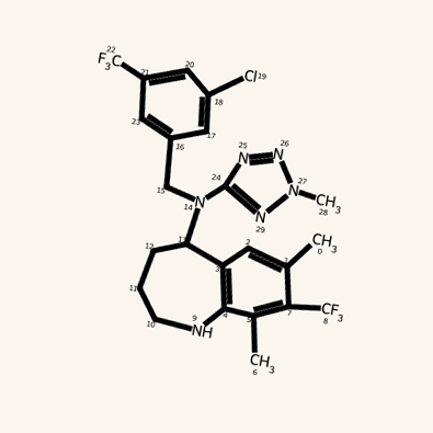 Cc1cc2c(c(C)c1C(F)(F)F)NCCCC2N(Cc1cc(Cl)cc(C(F)(F)F)c1)c1nnn(C)n1